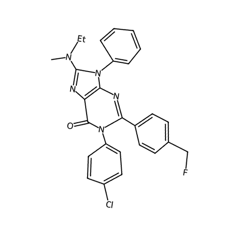 CCN(C)c1nc2c(=O)n(-c3ccc(Cl)cc3)c(-c3ccc(CF)cc3)nc2n1-c1ccccc1